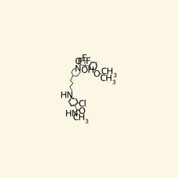 CNC(=O)c1ccc(NCCCCC2CCN(C(=O)[C@@](O)(c3cccc(OC(C)C)c3)C(F)(F)F)CC2)cc1Cl